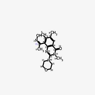 C/C(=N/O)c1c(C)c(C)cc2c(=O)n(C)c(N3CCOCC3)nc12